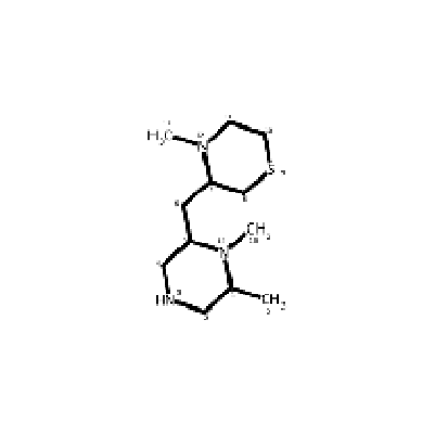 CC1CNCC(CC2CSCCN2C)N1C